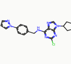 Clc1nc(NCc2ccc(-n3cccn3)cc2)c2ncn(C3CCCC3)c2n1